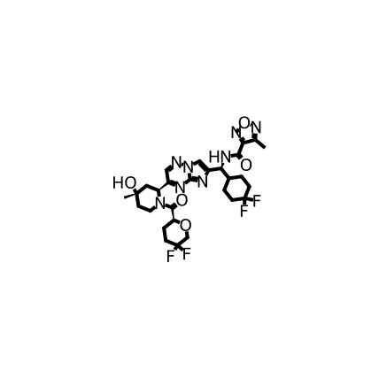 Cc1nonc1C(=O)N[C@H](c1cn2ncc([C@@H]3C[C@@](C)(O)CCN3C(=O)[C@@H]3CCC(F)(F)CO3)nc2n1)C1CCC(F)(F)CC1